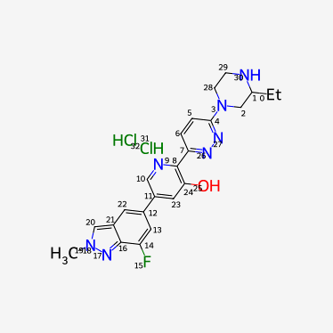 CCC1CN(c2ccc(-c3ncc(-c4cc(F)c5nn(C)cc5c4)cc3O)nn2)CCN1.Cl.Cl